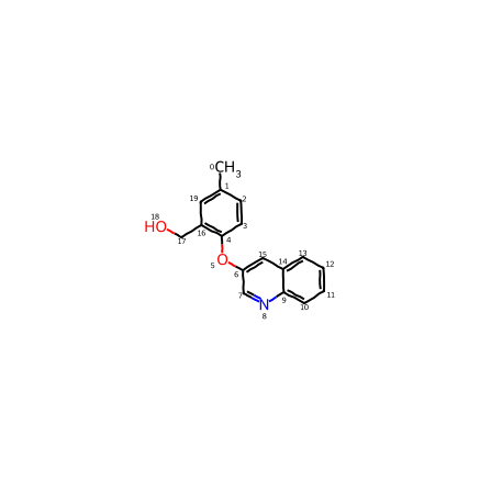 Cc1ccc(Oc2cnc3ccccc3c2)c(CO)c1